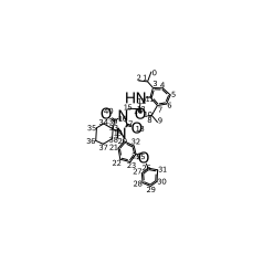 CC(C)c1cccc(C(C)C)c1NC(=O)CN1C(=O)N(c2cccc(Oc3ccccc3)c2)C2(CCCCC2)C1=O